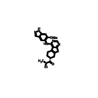 CCN(C)C(=O)[C@@H]1CCc2c(sc3ncnc(Nc4cc5cn[nH]c5cc4OC)c23)C1